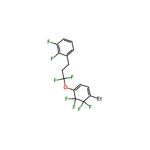 CCC1=CC=C(OC(F)(F)CCc2cccc(F)c2F)C(F)(F)C1(F)F